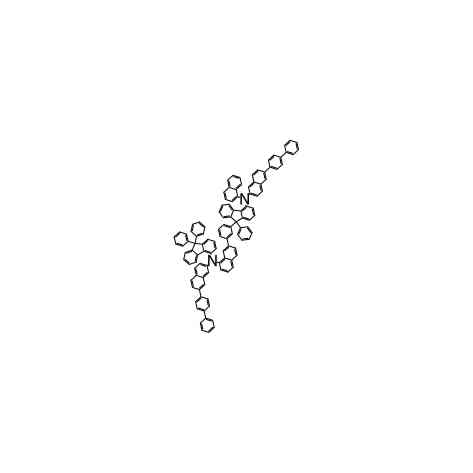 c1ccc(-c2ccc(-c3ccc4cc(N(c5cccc6c5-c5ccccc5C6(c5ccccc5)c5cccc(-c6ccc7cccc(N(c8ccc9ccc(-c%10ccc(-c%11ccccc%11)cc%10)cc9c8)c8cccc9c8-c8ccccc8C9(c8ccccc8)c8ccccc8)c7c6)c5)c5cccc6ccccc56)ccc4c3)cc2)cc1